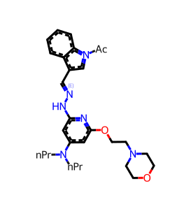 CCCN(CCC)c1cc(N/N=C/c2cn(C(C)=O)c3ccccc23)nc(OCCN2CCOCC2)c1